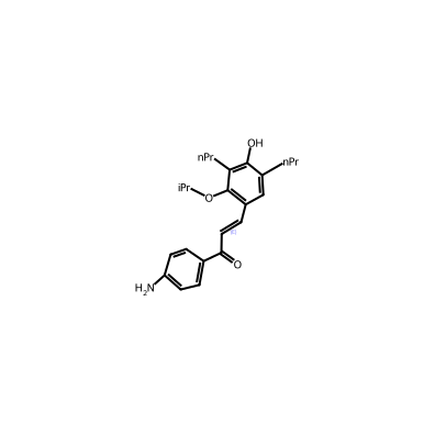 CCCc1cc(/C=C/C(=O)c2ccc(N)cc2)c(OC(C)C)c(CCC)c1O